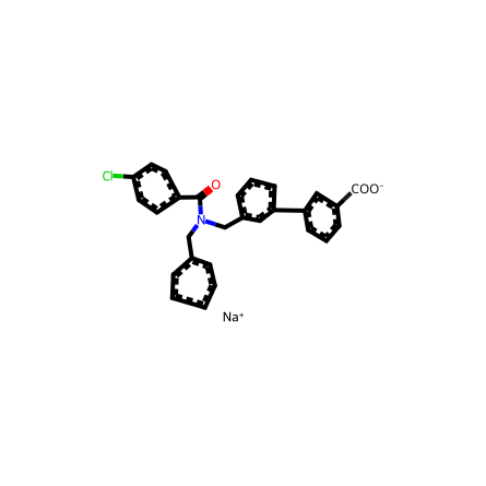 O=C([O-])c1cccc(-c2cccc(CN(Cc3ccccc3)C(=O)c3ccc(Cl)cc3)c2)c1.[Na+]